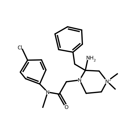 CN(C(=O)CN1CC[N+](C)(C)CC1(N)Cc1ccccc1)c1ccc(Cl)cc1